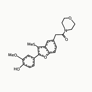 COc1cc(-c2oc3ccc(CC(=O)N4CCOCC4)cc3c2SC)ccc1O